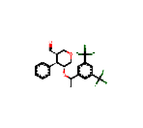 C[C@@H](O[C@@H]1COC[C@H](C=O)[C@@H]1c1ccccc1)c1cc(C(F)(F)F)cc(C(F)(F)F)c1